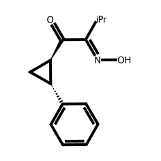 CC(C)C(=NO)C(=O)[C@@H]1C[C@H]1c1ccccc1